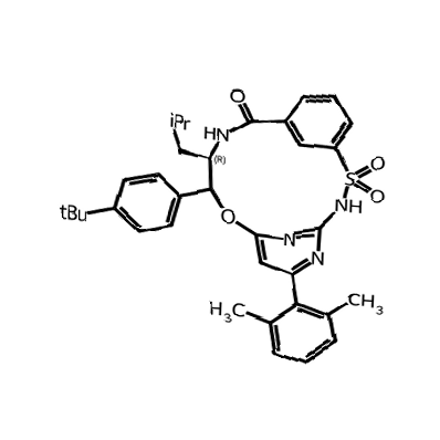 Cc1cccc(C)c1-c1cc2nc(n1)NS(=O)(=O)c1cccc(c1)C(=O)N[C@H](CC(C)C)C(c1ccc(C(C)(C)C)cc1)O2